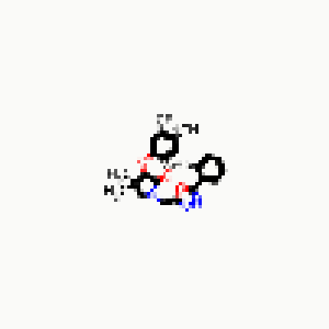 COc1ccccc1-c1nnc(CN2CC(C)(C)C(Oc3ccc(C#N)c(C(F)(F)F)c3)C2=O)o1